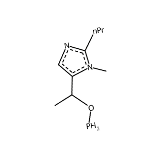 CCCc1ncc(C(C)OP)n1C